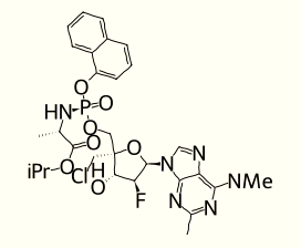 CNc1nc(C)nc2c1ncn2[C@@H]1O[C@](CCl)(CO[P@](=O)(N[C@@H](C)C(=O)OC(C)C)Oc2cccc3ccccc23)[C@@H](O)[C@@H]1F